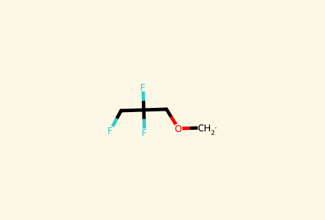 [CH2]OCC(F)(F)CF